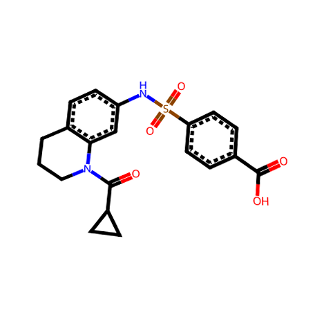 O=C(O)c1ccc(S(=O)(=O)Nc2ccc3c(c2)N(C(=O)C2CC2)CCC3)cc1